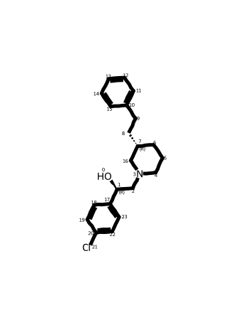 O[C@@H](CN1CCC[C@@H](CCc2ccccc2)C1)c1ccc(Cl)cc1